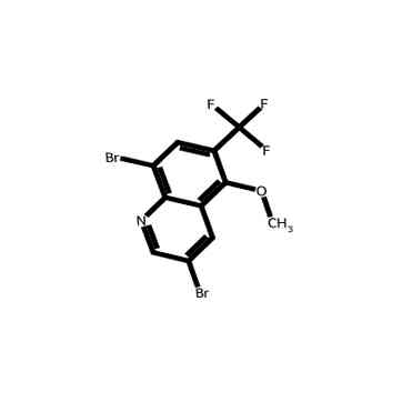 COc1c(C(F)(F)F)cc(Br)c2ncc(Br)cc12